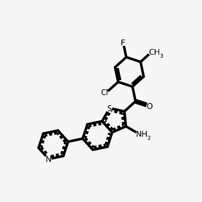 CC1C=C(C(=O)c2sc3cc(-c4cccnc4)ccc3c2N)C(Cl)=CC1F